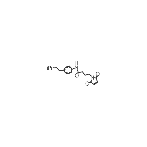 CC(C)CCc1ccc(NC(=O)CCCN2C(=O)C=CC2=O)cc1